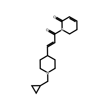 O=C1C=CCCN1C(=O)/C=C/C1CCN(CC2CC2)CC1